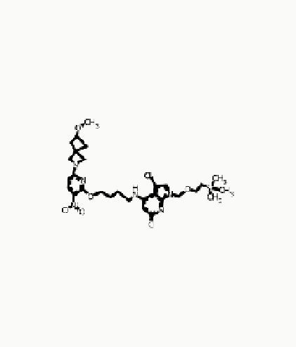 COC1CC2(C1)CN(c1ccc([N+](=O)[O-])c(OCCCCNc3cc(Cl)nc4c3c(Cl)cn4COCC[Si](C)(C)C)n1)C2